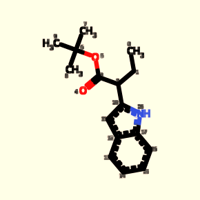 CCC(C(=O)OC(C)(C)C)c1cc2ccccc2[nH]1